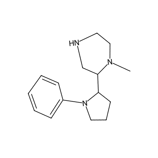 CN1CCNCC1C1CCCN1c1ccccc1